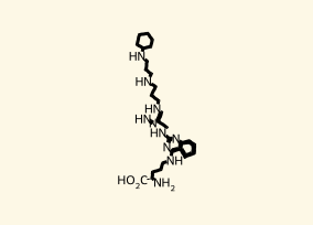 N=N/C(=C\NCCCNCCCNC1CCCCC1)CNc1nc(NCCC[C@H](N)C(=O)O)c2ccccc2n1